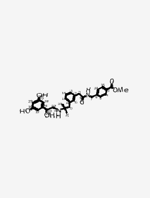 COC(=O)c1ccc(CNC(=O)Cc2cccc(CC(C)(C)NCC(O)c3cc(O)cc(O)c3)c2)cc1